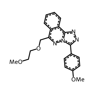 COCCOCc1nn2c(-c3ccc(OC)cc3)nnc2c2ccccc12